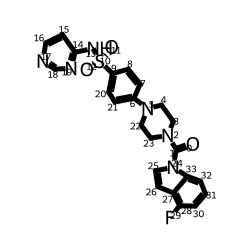 O=C(N1CCN(c2ccc(S(=O)(=O)Nc3ccncn3)cc2)CC1)n1ccc2c(F)cccc21